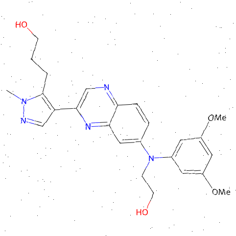 COc1cc(OC)cc(N(CCO)c2ccc3ncc(-c4cnn(C)c4CCCO)nc3c2)c1